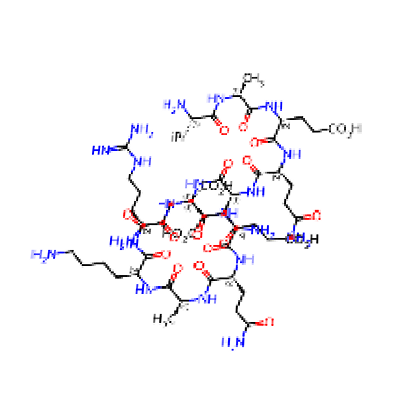 CC(C)[C@H](N)C(=O)N[C@@H](C)C(=O)N[C@@H](CCC(=O)O)C(=O)N[C@@H](CCC(N)=O)C(=O)N[C@@H](CCC(=O)O)C(=O)N[C@@H](CCC(N)=O)C(=O)N[C@@H](CCC(=O)O)C(=O)N[C@@H](CCC(N)=O)C(=O)N[C@@H](C)C(=O)N[C@@H](CCCCN)C(=O)N[C@@H](CCCNC(=N)N)C(=O)N[C@@H](CCC(N)=O)C(=O)O